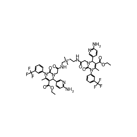 CCOC(=O)C1=C(C)N(c2cccc(C(F)(F)F)c2)C(=O)N(CC(=O)NCC[N+](C)(C)CNC(=O)CN2C(=O)N(c3cccc(C(F)(F)F)c3)C(C)=C(C(=O)OCC)C2c2ccc(N)nc2)C1c1ccc(N)nc1